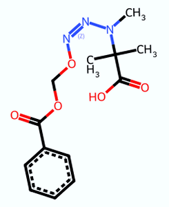 CN(/N=N\OCOC(=O)c1ccccc1)C(C)(C)C(=O)O